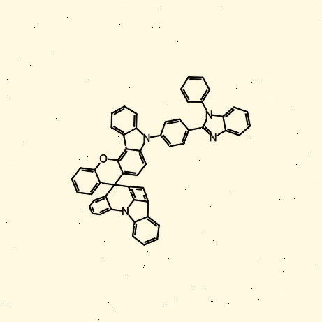 c1ccc(-n2c(-c3ccc(-n4c5ccccc5c5c6c(ccc54)C4(c5ccccc5O6)c5ccccc5-n5c6ccccc6c6cccc4c65)cc3)nc3ccccc32)cc1